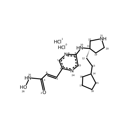 Cl.Cl.O=C(/C=C/c1cnc(N[C@]2(CCC3CCCC3)CCNC2)cn1)NO